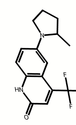 CC1CCCN1c1ccc2[nH]c(=O)cc(C(F)(F)F)c2c1